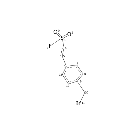 O=S(=O)(F)/C=C/c1ccc(CBr)cc1